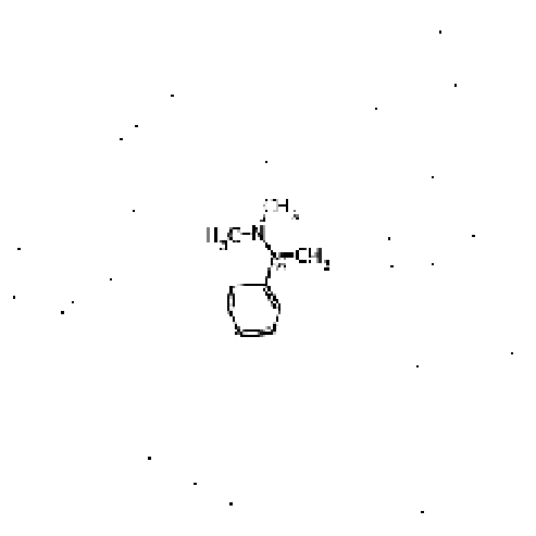 C[C@@H](c1cc[c]cc1)N(C)C